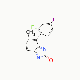 Cc1ccc2c(c1-c1ccc(I)cc1F)=NC(=O)N=2